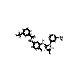 CNc1cc(-n2nc(C)nc2Nc2cc(NC(=O)c3cccc(C(C)(F)F)c3)ccc2C)ncn1